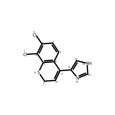 Clc1ccc2c(c1Cl)SCC=C2c1c[nH]cn1